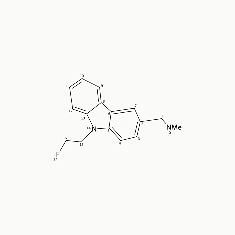 CNCc1ccc2c(c1)c1ccccc1n2CCF